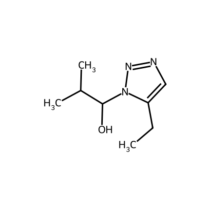 CCc1cnnn1C(O)C(C)C